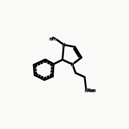 CCCCCCCCCCCN1C=CN(CCC)C1c1ccccc1